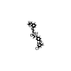 CC(Oc1ccc(Oc2ncc(Cl)cc2F)cc1)C(=O)NCCOc1cccc2c1OC(C)(C)C2